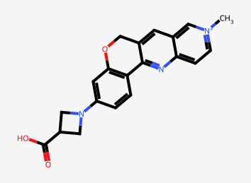 C[n+]1ccc2nc3c(cc2c1)COc1cc(N2CC(C(=O)O)C2)ccc1-3